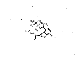 CCOC(=O)C1C2Oc3c(C)ccc(C(C)O[Si](C)(C)C(C)(C)C)c3C21